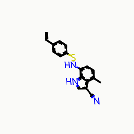 C=Cc1ccc(SNc2ccc(C)c3c(C#N)c[nH]c23)cc1